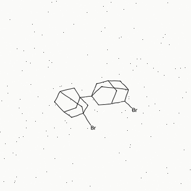 BrC1C2CC3CC1CC(C14CC5CC(CC(Br)(C5)C1)C4)(C3)C2